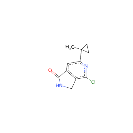 CC1(c2cc3c(c(Cl)n2)CNC3=O)CC1